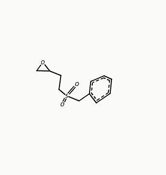 O=S(=O)(CCC1CO1)Cc1ccccc1